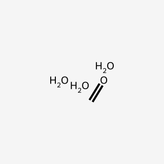 C=O.O.O.O